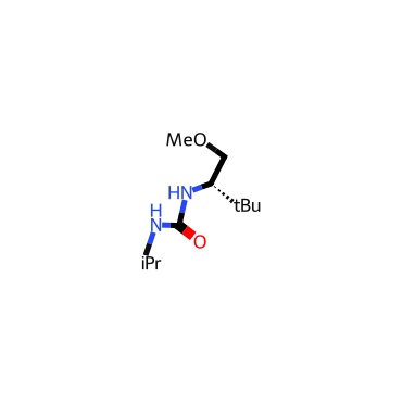 COC[C@@H](NC(=O)NC(C)C)C(C)(C)C